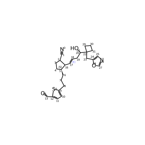 N#CC1CC[C@H](CCCc2ccc(C=O)s2)C1/C=C/CC(O)C1(Cc2cnco2)CCC1